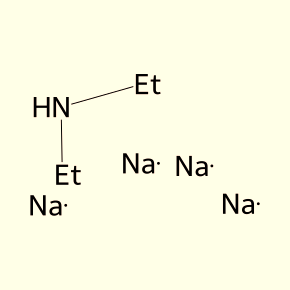 CCNCC.[Na].[Na].[Na].[Na]